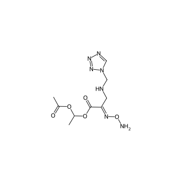 CC(=O)OC(C)OC(=O)/C(CNCn1cnnn1)=N/ON